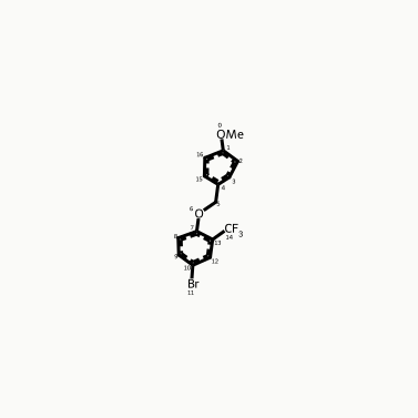 COc1ccc(COc2ccc(Br)cc2C(F)(F)F)cc1